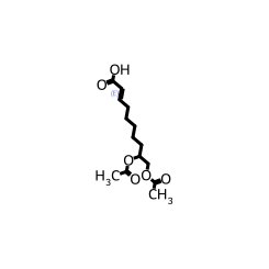 CC(=O)OCC(CCCCC/C=C/C(=O)O)OC(C)=O